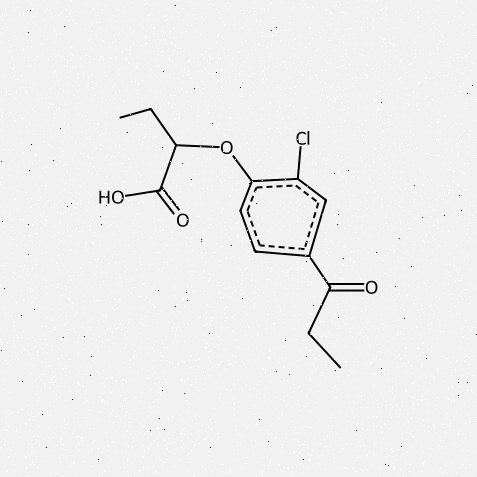 CCC(=O)c1ccc(OC(CC)C(=O)O)c(Cl)c1